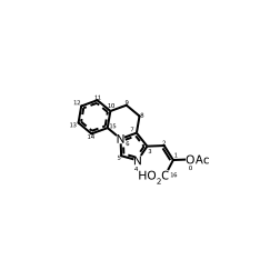 CC(=O)OC(=Cc1ncn2c1CCc1ccccc1-2)C(=O)O